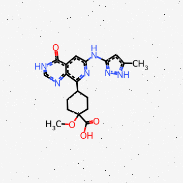 COC1(C(=O)O)CCC(c2nc(Nc3cc(C)[nH]n3)cc3c(=O)[nH]cnc23)CC1